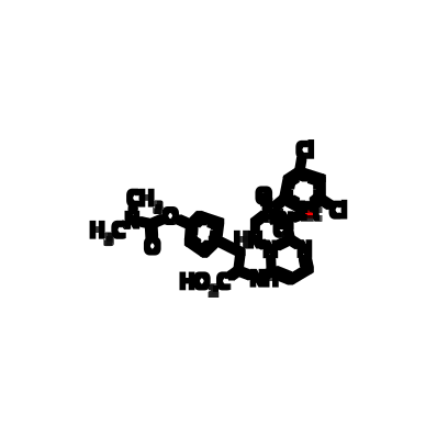 CCN(CC)C1N=CC=C(NC(Cc2ccc(OC(=O)N(C)C)cc2)C(=O)O)N1NCS(=O)(=O)c1cc(Cl)cc(Cl)c1